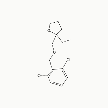 CCC1(COCc2c(Cl)cccc2Cl)CCCO1